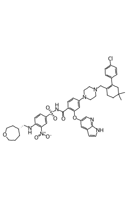 CC1(C)CCC(CN2CCN(c3ccc(C(=O)NS(=O)(=O)c4ccc(NC[C@@H]5CCCOCC5)c([N+](=O)[O-])c4)c(Oc4cnc5[nH]ccc5c4)c3)CC2)=C(c2ccc(Cl)cc2)C1